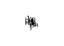 C=CCCCCCCCCC.O=P(O)(O)OP(=O)(O)O